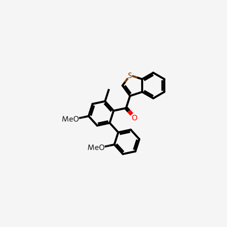 COc1cc(C)c(C(=O)c2csc3ccccc23)c(-c2ccccc2OC)c1